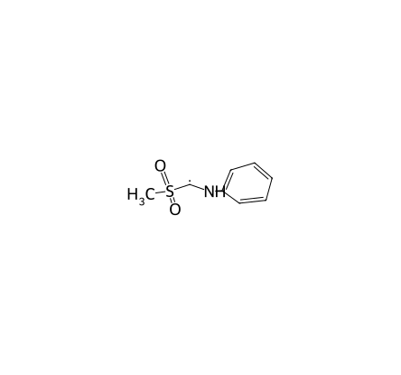 CS(=O)(=O)[CH]Nc1ccccc1